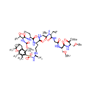 C=C(NCCC[C@@H](NC(=O)[C@H](CC(C)C)NC(=O)[C@@H](NC(=O)OC(C)(C)C)[C@H](O)C(C)C)C(=O)N[C@H](C(=O)N[C@@H](CC(C)C)C(=O)NCC(=O)N[C@@H](COC(C)(C)C)C(=O)N[C@@H](COC(C)(C)C)C(=O)OC)[C@@H](C)CC)NS(=O)(=O)c1c(C)c(C)c2c(c1C)CCC(C)(C)O2